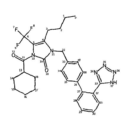 CCCCc1c(C(F)(F)F)n(C(=O)C2CCCCC2)c(=O)n1Cc1ccc(-c2ccccc2-c2nnn[nH]2)cc1